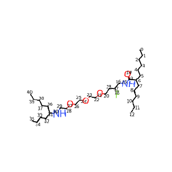 CCCCCCC(CCCCCC)C(=O)NCC(F)CCOCCOCCOCCNC(CCCC)CCCCC